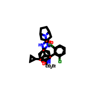 CCOC(=O)c1ccc(NC(=O)N2C3CCC2CC(NCc2c(-c4c(Cl)cccc4Cl)noc2C2CC2)C3)cc1